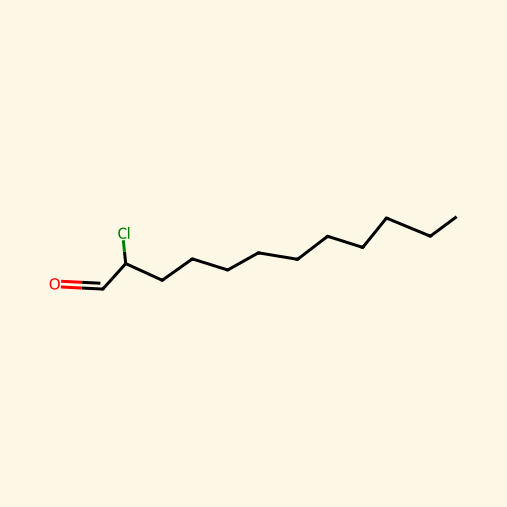 CCCCCCCCCCC(Cl)C=O